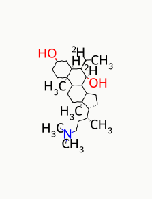 [2H]C(C)[C@@H]1[C@@H]2C[C@H](O)CC[C@]2(C)C2CC[C@@]3(C)C(CC[C@@H]3[C@H](C)CCN(C)C)C2[C@]1([2H])O